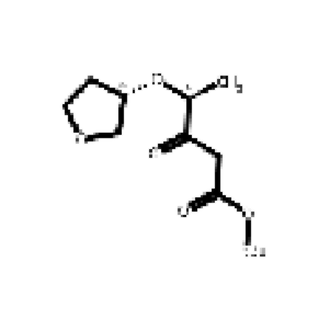 C[C@H](O[C@H]1CCOC1)C(=O)CC(=O)OC(C)(C)C